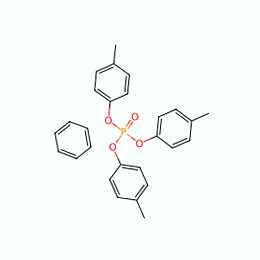 Cc1ccc(OP(=O)(Oc2ccc(C)cc2)Oc2ccc(C)cc2)cc1.c1ccccc1